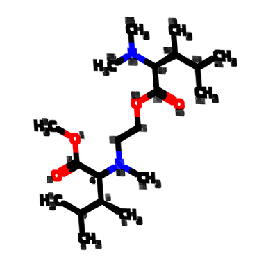 COC(=O)C([C@@H](C)C(C)C)N(C)CCOC(=O)[C@H](C(C)C(C)C)N(C)C